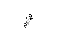 CC(C)(C)C(=O)ON1CCC(C(=O)Nc2ccc(F)cc2)CC1